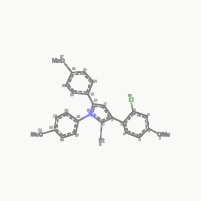 CCc1c(-c2ccc(OC)cc2Cl)cc(-c2ccc(OC)cc2)n1-c1ccc(OC)cc1